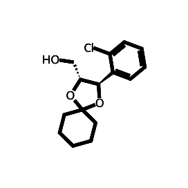 OC[C@H]1OC2(CCCCC2)O[C@@H]1c1ccccc1Cl